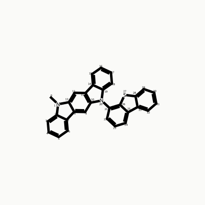 Cn1c2ccccc2c2cc3c(cc21)c1ccccc1n3-c1cccc2c1sc1ccccc12